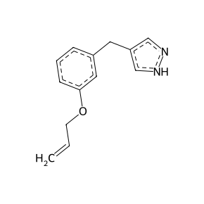 C=CCOc1cccc(Cc2cn[nH]c2)c1